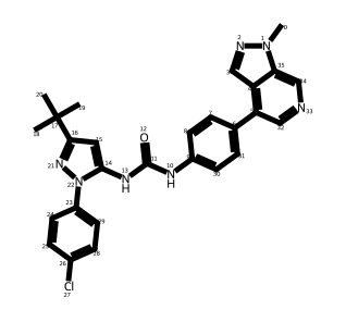 Cn1ncc2c(-c3ccc(NC(=O)Nc4cc(C(C)(C)C)nn4-c4ccc(Cl)cc4)cc3)cncc21